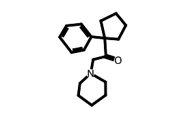 O=C(CN1CCCCC1)C1(c2ccccc2)CCCC1